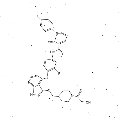 O=C(Nc1ccc(Oc2ccnc3[nH]nc(OCC4CCN(C(=O)CO)CC4)c23)c(F)c1)c1ccnn(-c2ccc(F)cc2)c1=O